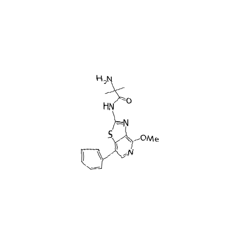 COc1ncc(-c2ccccc2)c2sc(NC(=O)C(C)(C)N)nc12